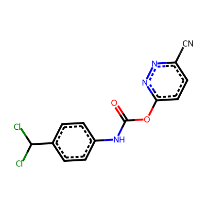 N#Cc1ccc(OC(=O)Nc2ccc(C(Cl)Cl)cc2)nn1